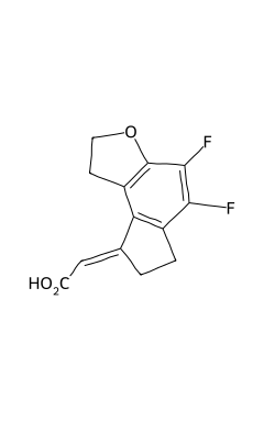 O=C(O)C=C1CCc2c(F)c(F)c3c(c21)CCO3